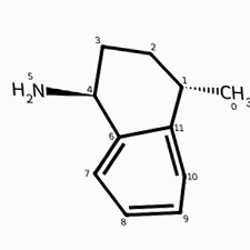 C[C@H]1CC[C@H](N)c2ccccc21